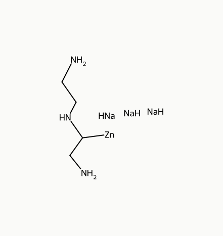 NCCN[CH]([Zn])CN.[NaH].[NaH].[NaH]